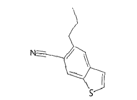 CCCc1cc2ccsc2cc1C#N